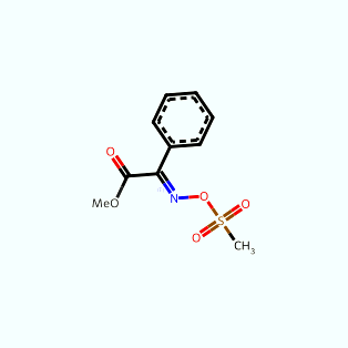 COC(=O)/C(=N/OS(C)(=O)=O)c1ccccc1